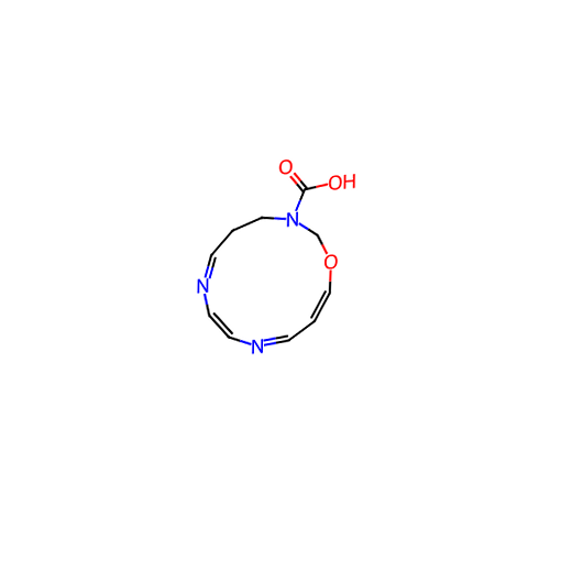 O=C(O)N1CCC=NC=CN=CC=COC1